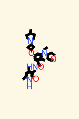 CCN(c1cc(O[C@H]2C[C@H](N3CCC(C)CC3)C2)cc(C(=O)NCc2c(C)cc(C)[nH]c2=O)c1C)C1CCOCC1